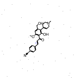 COc1cc(CO)c(C2=CCN(C)CC2)c(O)c1C(=O)/C=C/c1ccc(C#N)cc1